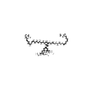 CCC/C=C\C/C=C\CCCCCCCCCC(CCCCCCCC/C=C\C/C=C\CCCCC)OOC(CCCN(C)C)CC(C)=O